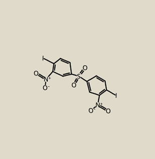 O=[N+]([O-])c1cc(S(=O)(=O)c2ccc(I)c([N+](=O)[O-])c2)ccc1I